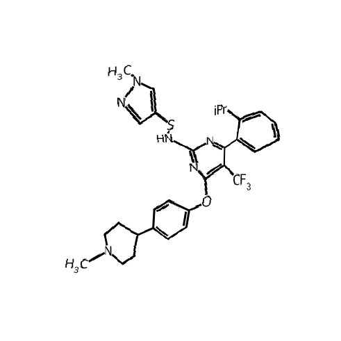 CC(C)c1ccccc1-c1nc(NSc2cnn(C)c2)nc(Oc2ccc(C3CCN(C)CC3)cc2)c1C(F)(F)F